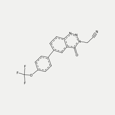 N#CCn1nnc2ccc(-c3ccc(OC(F)(F)F)cc3)cc2c1=O